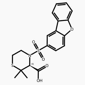 CC1(C)SCCN(S(=O)(=O)c2ccc3oc4ccccc4c3c2)[C@H]1C(=O)O